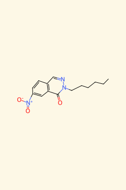 CCCCCCn1ncc2ccc([N+](=O)[O-])cc2c1=O